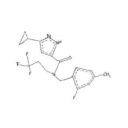 Cc1ccc(CN(CCC(F)(F)F)C(=O)c2cc(C3CC3)n[nH]2)c(F)c1